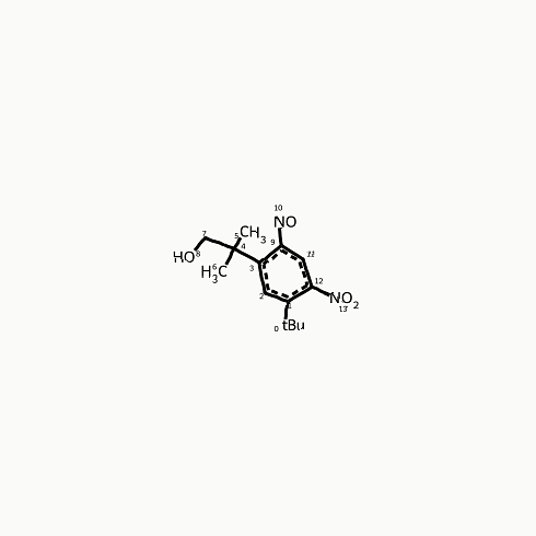 CC(C)(C)c1cc(C(C)(C)CO)c(N=O)cc1[N+](=O)[O-]